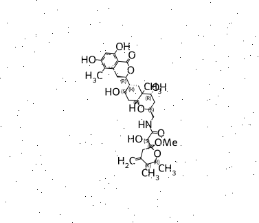 C=C1C[C@](OC)([C@H](O)C(=O)NC[C@@H]2C[C@@H](O)C3(C)C[C@@H]([C@H]4Cc5c(C)c(O)cc(O)c5C(=O)O4)[C@@H](O)C[C@H]3O2)O[C@H](C)[C@@H]1C